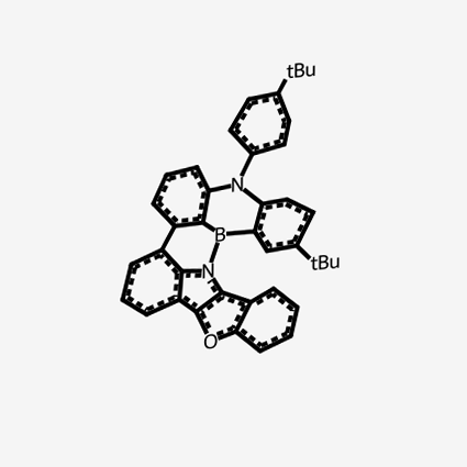 CC(C)(C)c1ccc(N2c3ccc(C(C)(C)C)cc3B3c4c(cccc42)-c2cccc4c5oc6ccccc6c5n3c24)cc1